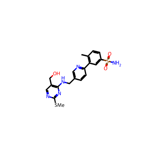 CSc1ncc(CO)c(NCc2ccc(-c3cc(S(N)(=O)=O)ccc3C)nc2)n1